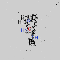 CC(CCC(=O)NC=O)N(C)Cc1c(C=O)cccc1CCCCCCCCNC12CC3CC4CC1C432